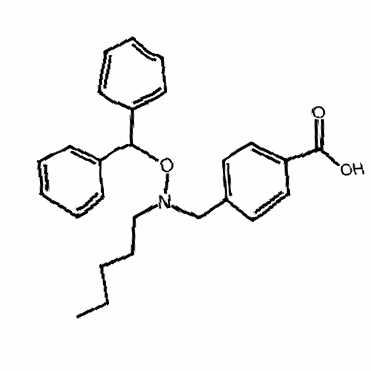 CCCCCN(Cc1ccc(C(=O)O)cc1)OC(c1ccccc1)c1ccccc1